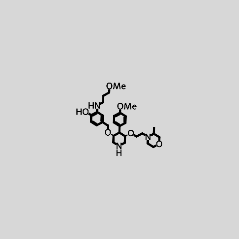 COCCCNc1cc(CO[C@H]2CNC[C@@H](OCCN3CCOCC3C)C2c2ccc(OC)cc2)ccc1O